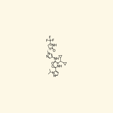 CC(C)n1nccc1C(=O)N[C@H](C(=O)Nc1cnn(C[C@@H]2C[C@@H](C(F)(F)F)NC2=O)c1)C(C1CC1)C1CC1